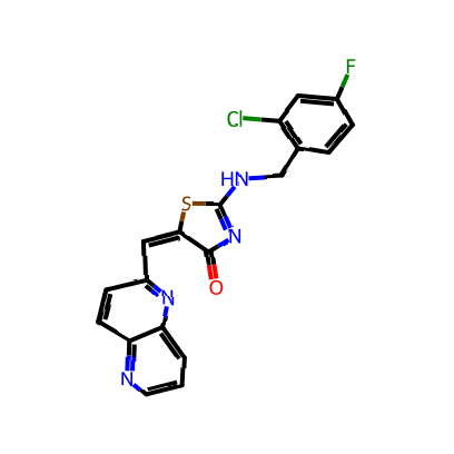 O=C1N=C(NCc2ccc(F)cc2Cl)SC1=Cc1ccc2ncccc2n1